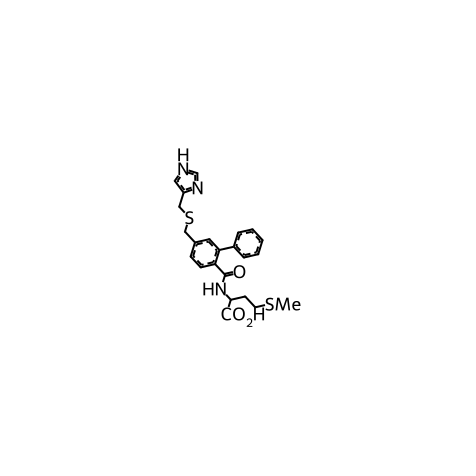 CSCCC(NC(=O)c1ccc(CSCc2c[nH]cn2)cc1-c1ccccc1)C(=O)O